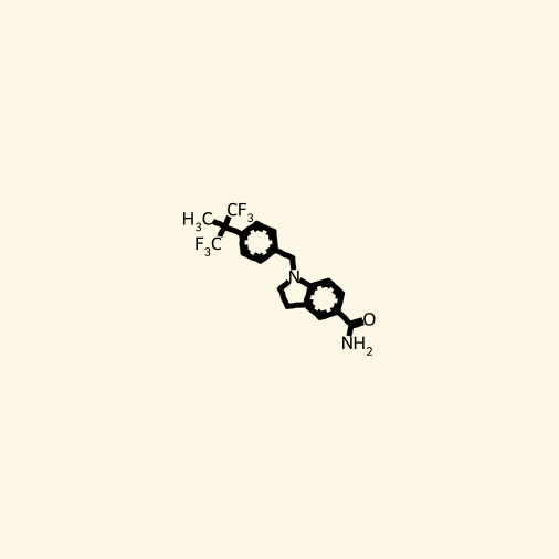 CC(c1ccc(CN2CCc3cc(C(N)=O)ccc32)cc1)(C(F)(F)F)C(F)(F)F